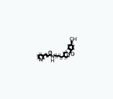 C#Cc1ccc(C(=O)N2CCC(CCCCNC(=O)C=Cc3cccnc3)CC2)cc1